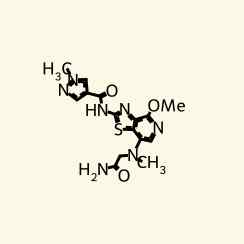 COc1ncc(N(C)CC(N)=O)c2sc(NC(=O)c3cnn(C)c3)nc12